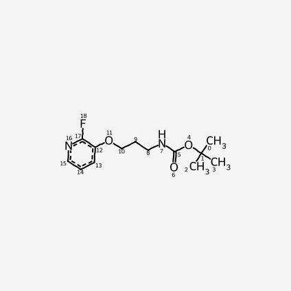 CC(C)(C)OC(=O)NCCCOc1cccnc1F